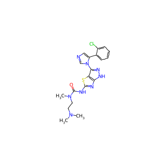 CN(C)CCN(C)C(=O)Nc1nc2[nH]nc(-n3cncc3-c3ccccc3Cl)c2s1